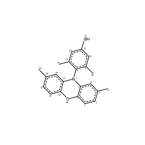 Cc1ccc2c(c1)N(c1c(C)cc(C(C)(C)C)cc1C)c1cc(C)ccc1O2